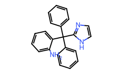 Nc1ccccc1C(c1ccccc1)(c1ccccc1)c1ncc[nH]1